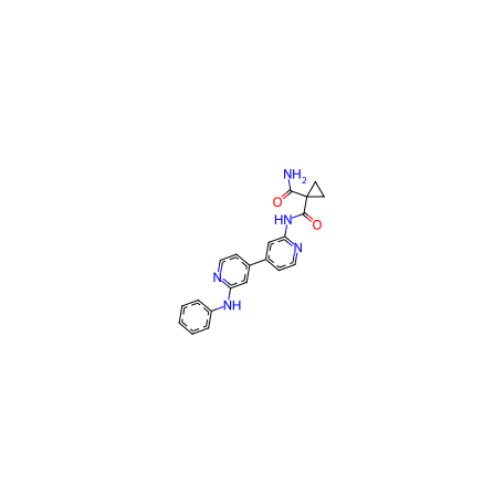 NC(=O)C1(C(=O)Nc2cc(-c3ccnc(Nc4ccccc4)c3)ccn2)CC1